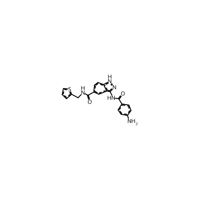 Nc1ccc(C(=O)Nc2n[nH]c3ccc(C(=O)NCc4cccs4)cc23)cc1